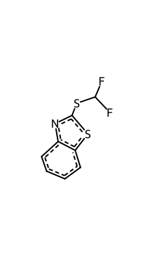 FC(F)Sc1nc2ccccc2s1